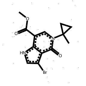 COC(=O)c1cn(C2(C)CC2)c(=O)c2c(Br)c[nH]c12